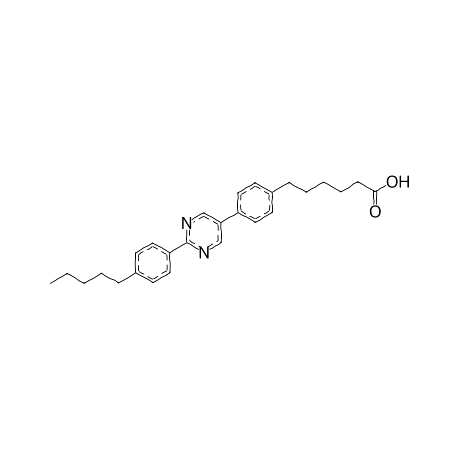 CCCCCc1ccc(-c2ncc(-c3ccc(CCCCCC(=O)O)cc3)cn2)cc1